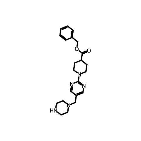 O=C(OCc1ccccc1)C1CCN(c2ncc(CN3CCNCC3)cn2)CC1